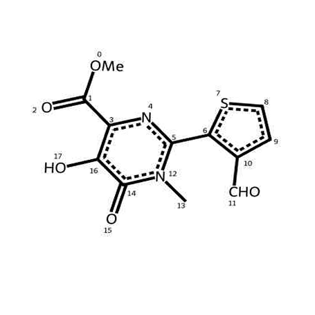 COC(=O)c1nc(-c2sccc2C=O)n(C)c(=O)c1O